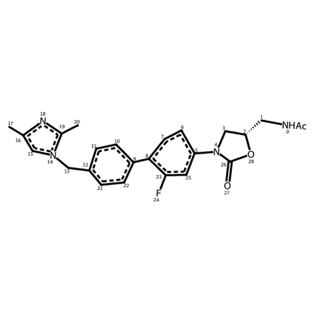 CC(=O)NC[C@H]1CN(c2ccc(-c3ccc(Cn4cc(C)nc4C)cc3)c(F)c2)C(=O)O1